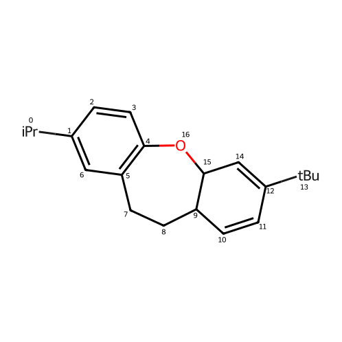 CC(C)c1ccc2c(c1)CCC1C=CC(C(C)(C)C)=CC1O2